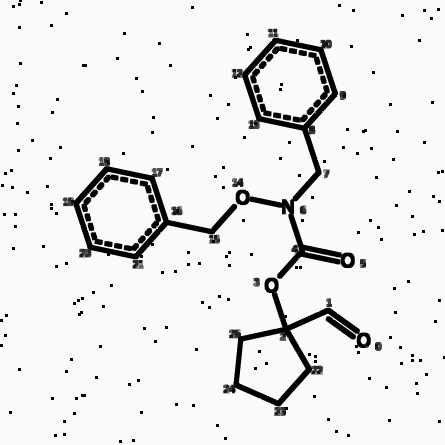 O=CC1(OC(=O)N(Cc2ccccc2)OCc2ccccc2)CCCC1